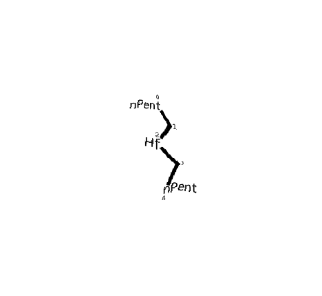 CCCCC[CH2][Hf][CH2]CCCCC